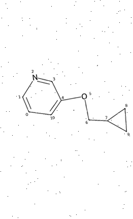 c1cncc(OCC2CC2)c1